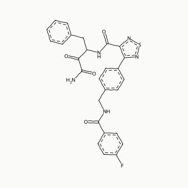 NC(=O)C(=O)C(Cc1ccccc1)NC(=O)c1nsnc1-c1ccc(CNC(=O)c2ccc(F)cc2)cc1